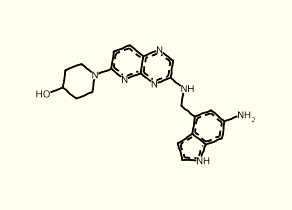 Nc1cc(CNc2cnc3ccc(N4CCC(O)CC4)nc3n2)c2cc[nH]c2c1